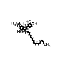 CC/C=C\C/C=C\C/C=C\CCCCCCCC(=O)Oc1c(-c2ccc(O)c(O)c2)oc2cc(OC(C)C)cc(O)c2c1=O